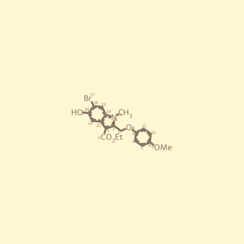 CCOC(=O)c1c(COc2ccc(OC)cc2)n(C)c2cc(Br)c(O)cc12